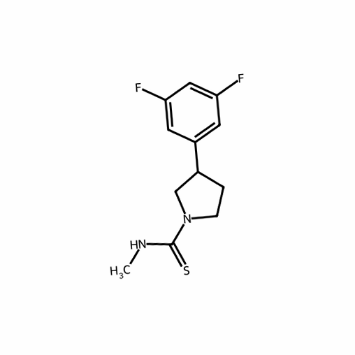 CNC(=S)N1CCC(c2cc(F)cc(F)c2)C1